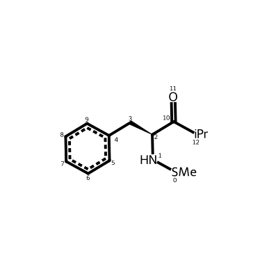 CSN[C@@H](Cc1ccccc1)C(=O)C(C)C